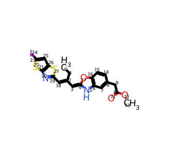 CC/C(C=C1Nc2cc(CC(=O)OC)ccc2O1)=C\c1nc2sc(I)cc2s1